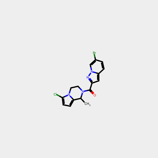 CC1c2ccc(Cl)n2CCN1C(=O)c1cc2ccc(Br)cn2n1